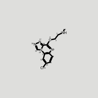 CNCCOc1nc2ccc(Cl)cc2n2cnnc12